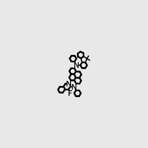 CC1(C)c2ccccc2-c2c(N(c3ccccc3)c3ccc4ccc5c(N(c6ccccc6)c6ncc7ccccc7c6F)ccc6ccc3c4c65)cccc21